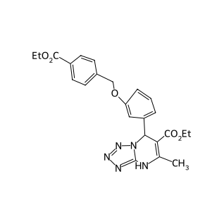 CCOC(=O)C1=C(C)Nc2nnnn2C1c1cccc(OCc2ccc(C(=O)OCC)cc2)c1